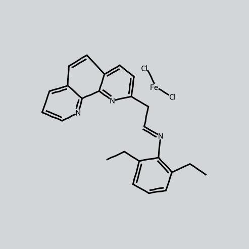 CCc1cccc(CC)c1N=CCc1ccc2ccc3cccnc3c2n1.[Cl][Fe][Cl]